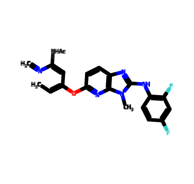 C=N/C(=C\C(=C/C)Oc1ccc2nc(Nc3ccc(F)cc3F)n(C)c2n1)NC(C)=O